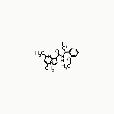 CCOc1ccccc1C(C)NC(=O)c1ccn2c(C)cc(C)nc12